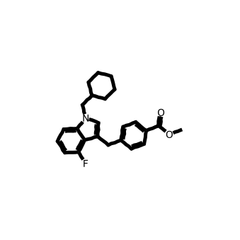 COC(=O)c1ccc(Cc2cn(CC3CCCCC3)c3cccc(F)c23)cc1